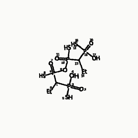 CCC(P(=O)(O)S)P(=O)(S)OP(=O)(S)C(CC)P(=O)(O)S